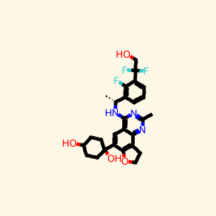 Cc1nc(N[C@H](C)c2cccc(C(F)(F)CO)c2F)c2cc(C3(O)CCC(O)CC3)c3c(c2n1)CCO3